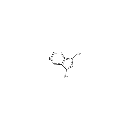 CCc1cn(C(C)C)c2ccncc12